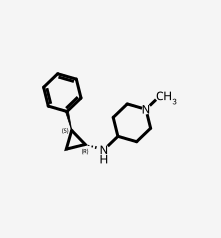 CN1CCC(N[C@@H]2C[C@H]2c2ccccc2)CC1